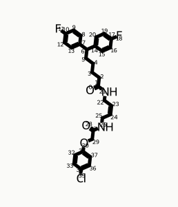 O=C(CCCCC(c1ccc(F)cc1)c1ccc(F)cc1)NC/C=C\CNC(=O)COc1ccc(Cl)cc1